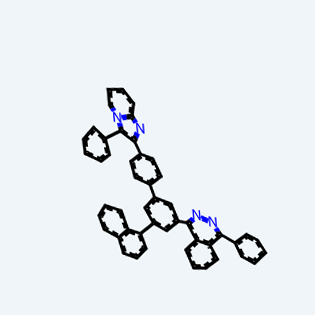 c1ccc(-c2nnc(-c3cc(-c4ccc(-c5nc6ccccn6c5-c5ccccc5)cc4)cc(-c4cccc5ccccc45)c3)c3ccccc23)cc1